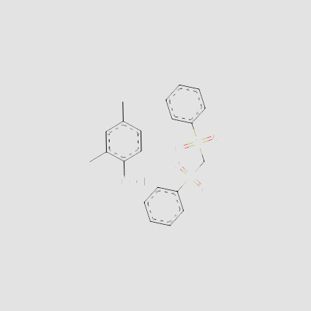 Cc1ccc(C(=O)O)c(C)c1.O=S(=O)([C]S(=O)(=O)c1ccccc1)c1ccccc1